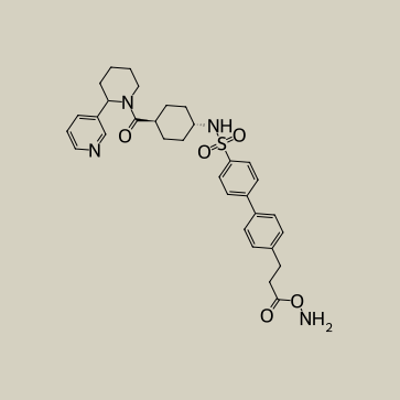 NOC(=O)CCc1ccc(-c2ccc(S(=O)(=O)N[C@H]3CC[C@H](C(=O)N4CCCCC4c4cccnc4)CC3)cc2)cc1